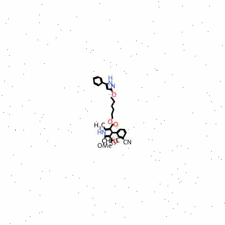 COC(=O)C1=C(C)NC(C)=C(C(=O)OCCCCCCOc2cc(-c3ccccc3)[nH]n2)C1c1c(F)ccc(C#N)c1C(F)(F)F